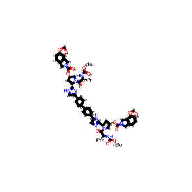 CC(C)[C@H](NC(=O)OC(C)(C)C)C(=O)N1C[C@H](OC(=O)N2Cc3ccc4c(c3C2)OCO4)CC1c1ncc(-c2ccc(-c3ccc(-c4c[nH]c([C@@H]5C[C@@H](OC(=O)N6Cc7ccc8c(c7C6)OCO8)CN5C(=O)[C@@H](NC(=O)OC(C)(C)C)C(C)C)n4)cc3)cc2)[nH]1